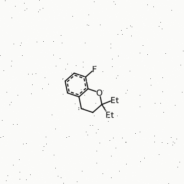 CCC1(CC)C[C]c2cccc(F)c2O1